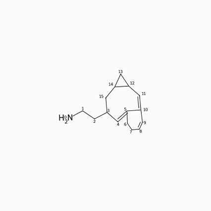 NCCC1/C=C2\CCC=C\C2=C\C2CC2C1